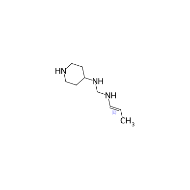 C/C=C/NCNC1CCNCC1